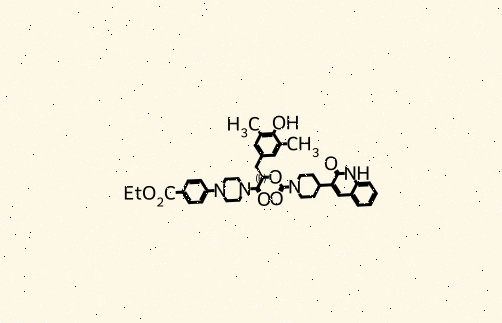 CCOC(=O)c1ccc(N2CCN(C(=O)[C@@H](Cc3cc(C)c(O)c(C)c3)OC(=O)N3CCC(c4cc5ccccc5[nH]c4=O)CC3)CC2)cc1